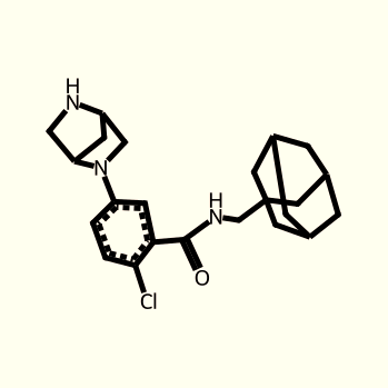 O=C(NCC12CC3CC(CC(C3)C1)C2)c1cc(N2CC3CC2CN3)ccc1Cl